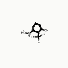 ONc1cccc(Cl)c1C(F)(F)F